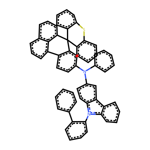 c1ccc(-c2ccccc2-n2c3ccccc3c3cc(N(c4ccccc4)c4ccc5c(c4)C4(c6ccccc6Sc6ccccc64)c4cccc6cccc-5c46)ccc32)cc1